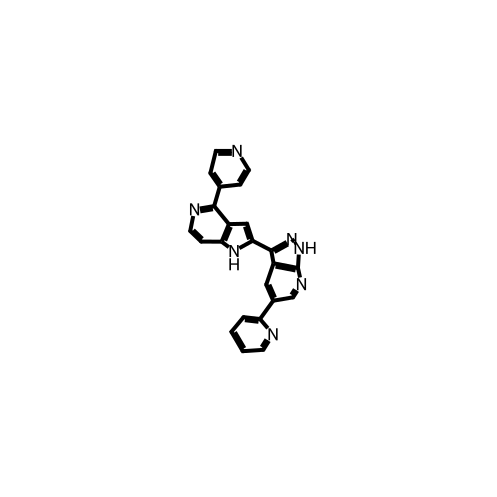 c1ccc(-c2cnc3[nH]nc(-c4cc5c(-c6ccncc6)nccc5[nH]4)c3c2)nc1